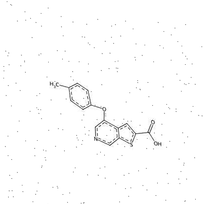 Cc1ccc(Oc2cncc3sc(C(=O)O)cc23)cc1